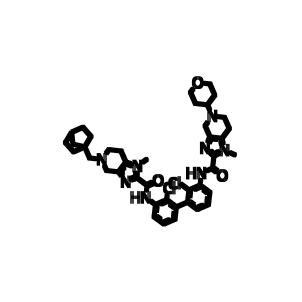 Cn1c(C(=O)Nc2cccc(-c3cccc(NC(=O)c4nc5c(n4C)CCN(C4CCOCC4)C5)c3Cl)c2Cl)nc2c1CCN(CC13CCC(CC1)C3)C2